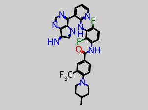 CC1CCN(c2ccc(C(=O)Nc3ccc(F)c(Nc4ncccc4-c4ncnc5c4N=CC5=N)c3F)cc2C(F)(F)F)CC1